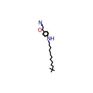 CC(C)(C)CCCCCCCCCCCCNc1ccc(C(=O)CC#N)cc1